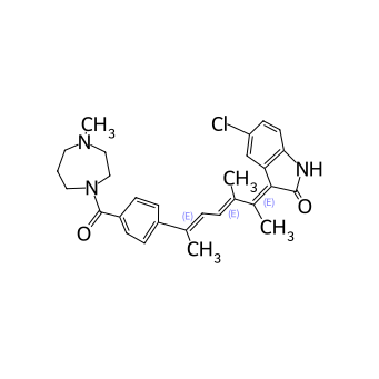 CC(=C\C=C(/C)c1ccc(C(=O)N2CCCN(C)CC2)cc1)/C(C)=C1/C(=O)Nc2ccc(Cl)cc21